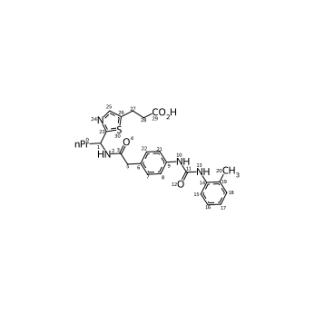 CCCC(NC(=O)Cc1ccc(NC(=O)Nc2ccccc2C)cc1)c1ncc(CCC(=O)O)s1